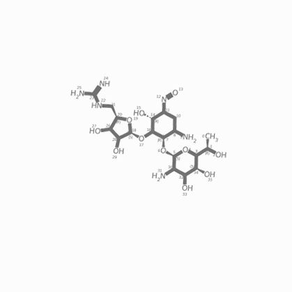 C[C@@H](O)C1O[C@H](O[C@@H]2C(N)CC(N=O)[C@@H](O)C2O[C@@H]2O[C@H](CNC(=N)N)C(O)C2O)C(N)C(O)[C@@H]1O